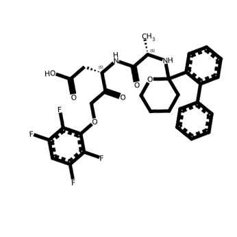 C[C@H](NC1(c2ccccc2-c2ccccc2)CCCCO1)C(=O)N[C@@H](CC(=O)O)C(=O)COc1c(F)c(F)cc(F)c1F